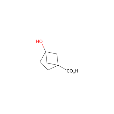 O=C(O)C12CCC(O)(C1)C2